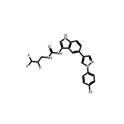 CCc1ccc(-n2cc(-c3ccc4[nH]cc(NC(=O)NCC(F)C(F)F)c4c3)cn2)cc1